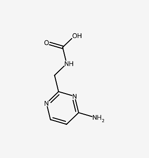 Nc1ccnc(CNC(=O)O)n1